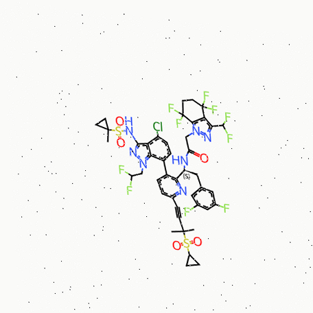 CC1(S(=O)(=O)Nc2nn(CC(F)F)c3c(-c4ccc(C#CC(C)(C)S(=O)(=O)C5CC5)nc4[C@H](Cc4cc(F)cc(F)c4)NC(=O)Cn4nc(C(F)F)c5c4C(F)(F)CCC5(F)F)ccc(Cl)c23)CC1